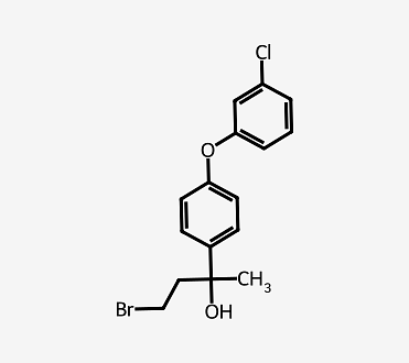 CC(O)(CCBr)c1ccc(Oc2cccc(Cl)c2)cc1